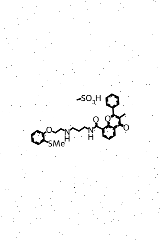 CS(=O)(=O)O.CSc1ccccc1OCCNCCCNC(=O)c1cccc2c(=O)c(C)c(-c3ccccc3)oc12